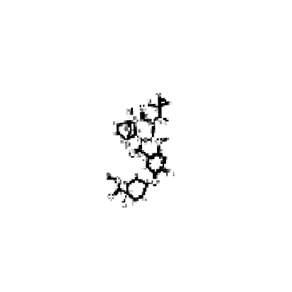 COc1cc(F)c(O[C@H]2CC[C@@](C)(C(=O)OC)CC2)cc1C(=O)N[C@@H]1[C@H]2CC[C@H](C2)[C@@H]1C(=O)N(F)[C@H](C)C1(C)CC1